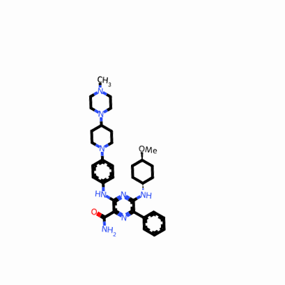 CO[C@H]1CC[C@H](Nc2nc(Nc3ccc(N4CCC(N5CCN(C)CC5)CC4)cc3)c(C(N)=O)nc2-c2ccccc2)CC1